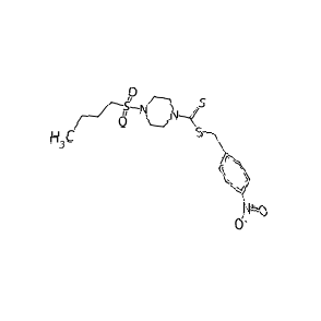 CCCCS(=O)(=O)N1CCN(C(=S)SCc2ccc([N+](=O)[O-])cc2)CC1